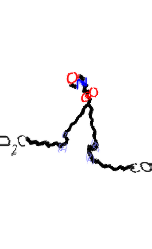 O=C(O)CCCCCCC/C=C\C/C=C\CCCCCCC(CCCCCC/C=C\C/C=C\CCCCCCCC(=O)O)COC(=O)CCN1CCOCC1